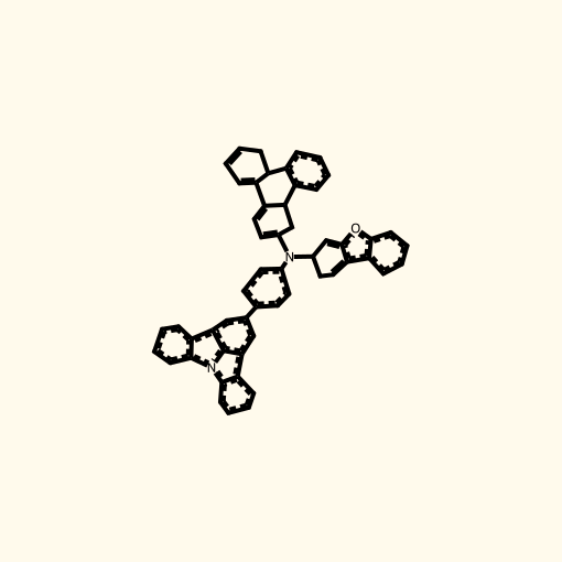 C1=CCC2C(=C1)C1=CC=C(N(c3ccc(-c4cc5c6ccccc6n6c7ccccc7c(c4)c56)cc3)C3C=c4oc5ccccc5c4=CC3)CC1c1ccccc12